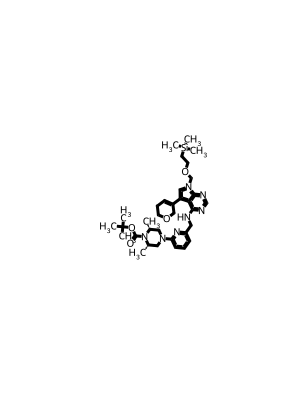 C[C@@H]1CN(c2cccc(CNc3ncnc4c3c(C3=CCCOC3)cn4COCC[Si](C)(C)C)n2)C[C@H](C)N1C(=O)OC(C)(C)C